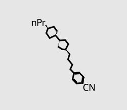 CCC[C@H]1CC[C@H]([C@H]2CC[C@H](CCCCc3ccc(C#N)cc3)CC2)CC1